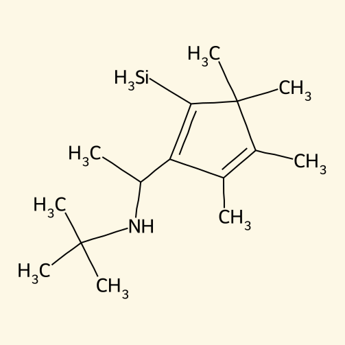 CC1=C(C)C(C)(C)C([SiH3])=C1C(C)NC(C)(C)C